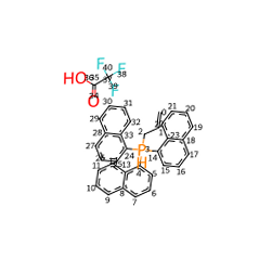 C=CC[PH](c1cccc2ccccc12)(c1cccc2ccccc12)c1cccc2ccccc12.O=C(O)C(F)(F)F